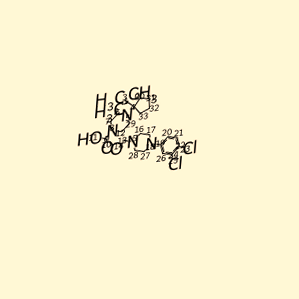 CC(C)(C)C1(N2CCN(C(=O)O)[C@@H](C(=O)N3CCN(c4ccc(Cl)c(Cl)c4)CC3)C2)CCCC1